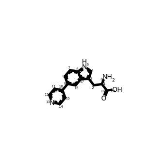 NC(Cc1c[nH]c2ccc(-c3ccncc3)cc12)C(=O)O